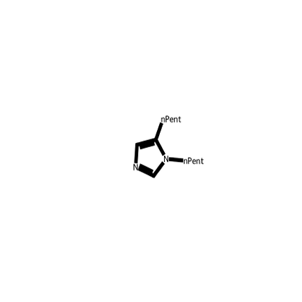 CCCCCc1cncn1CCCCC